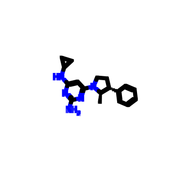 C[C@@H]1[C@@H](c2ccccc2)CCN1c1cc(NC2CC2)nc(N)n1